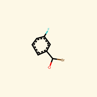 [O]C(Br)c1cccc(F)c1